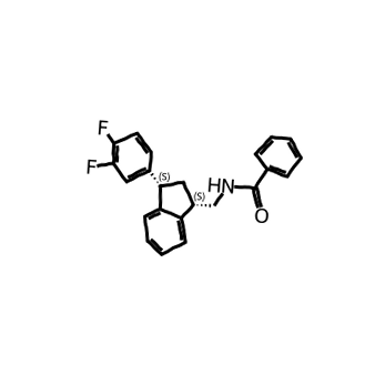 O=C(NC[C@H]1C[C@@H](c2ccc(F)c(F)c2)c2ccccc21)c1ccccc1